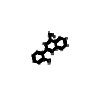 Nc1nc(-c2ccccc2Cl)nc2ccccc12